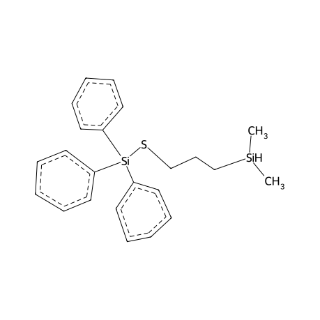 C[SiH](C)CCCS[Si](c1ccccc1)(c1ccccc1)c1ccccc1